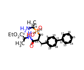 CCOC(=O)[C@H](C)NC(=O)[C@H](Cc1ccc(-c2ccccc2)cc1)CP(=O)(O)[C@H](C)N